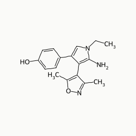 CCn1cc(-c2ccc(O)cc2)c(-c2c(C)noc2C)c1N